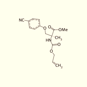 C=CCOC(=O)N[C@@](C)(COc1ccc(C#N)cc1)C(=O)OC